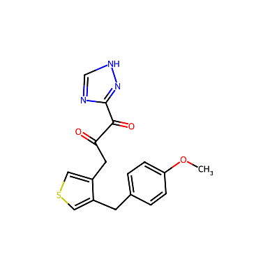 COc1ccc(Cc2cscc2CC(=O)C(=O)c2nc[nH]n2)cc1